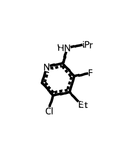 CCc1c(Cl)cnc(NC(C)C)c1F